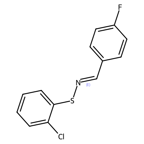 Fc1ccc(/C=N/Sc2ccccc2Cl)cc1